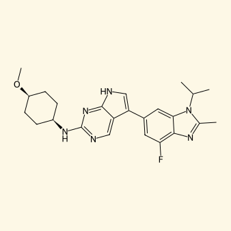 CO[C@H]1CC[C@@H](Nc2ncc3c(-c4cc(F)c5nc(C)n(C(C)C)c5c4)c[nH]c3n2)CC1